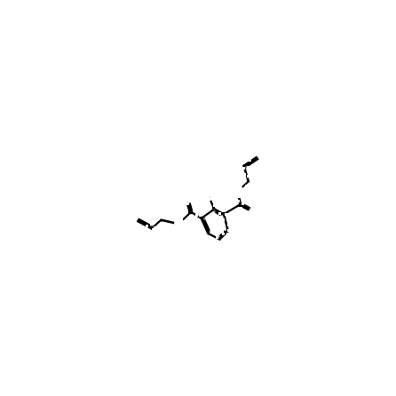 C=CCOC(=O)c1cccc(C(=O)OCC=C)c1[N+](=O)[O-]